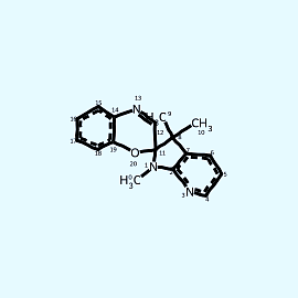 CN1c2ncccc2C(C)(C)C12C=Nc1ccccc1O2